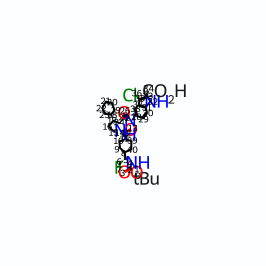 CC(C)(C)OC(=O)N[C@H](CF)C1CCC(C(=O)N2CC[C@@H](C3CCCCC3)[C@H]2C(=O)Nc2ccc3[nH]c(C(=O)O)c(Cl)c3c2)CC1